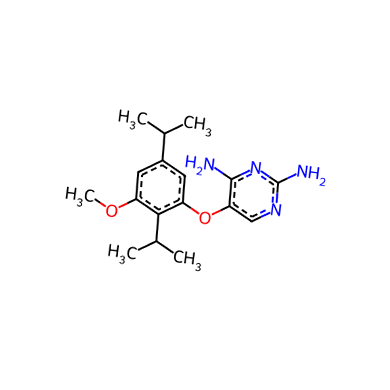 COc1cc(C(C)C)cc(Oc2cnc(N)nc2N)c1C(C)C